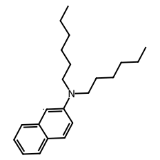 CCCCCCN(CCCCCC)c1[c]c2ccccc2cc1